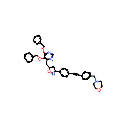 C(#Cc1ccc(C2=NOC(Cc3ncnc(OCc4ccccc4)c3OCc3ccccc3)C2)cc1)c1ccc(CN2CCOCC2)cc1